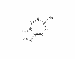 [Na][c]1ccc2cccc-2cc1